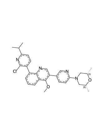 COc1c(-c2ccc(N3C[C@@H](C)O[C@@H](C)C3)nc2)cnc2c(-c3ccc(C(C)C)nc3Cl)cccc12